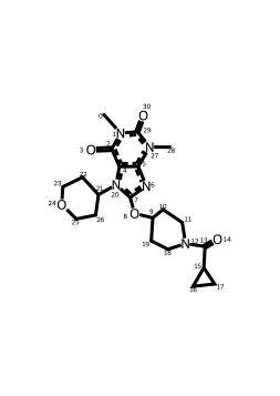 Cn1c(=O)c2c(nc(OC3CCN(C(=O)C4CC4)CC3)n2C2CCOCC2)n(C)c1=O